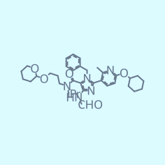 Cc1nc(OC2CCCCC2)ccc1-c1nc(NC=O)c(C(=O)N(CCCOC2CCCCO2)C(C)C)n1Cc1ccccc1